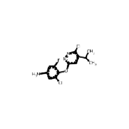 CC(C)c1cc(Oc2c(F)cc(N)cc2Cl)nnc1Cl